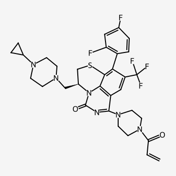 C=CC(=O)N1CCN(c2nc(=O)n3c4c(c(-c5ccc(F)cc5F)c(C(F)(F)F)cc24)SC[C@@H]3CN2CCN(C3CC3)CC2)CC1